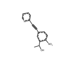 CC(O)c1cc(C#Cc2ccccn2)ccc1[N+](=O)[O-]